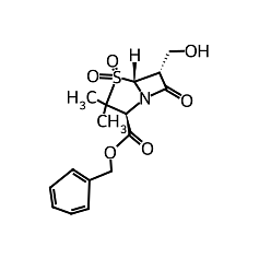 CC1(C)[C@H](C(=O)OCc2ccccc2)N2C(=O)[C@@H](CO)[C@H]2S1(=O)=O